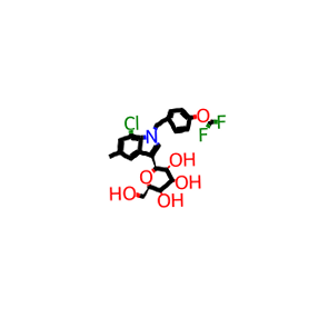 Cc1cc(Cl)c2c(c1)c([C@@H]1O[C@H](CO)[C@@H](O)[C@H](O)[C@H]1O)cn2Cc1ccc(OC(F)F)cc1